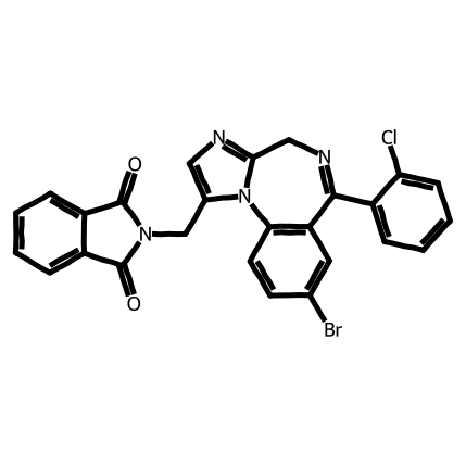 O=C1c2ccccc2C(=O)N1Cc1cnc2n1-c1ccc(Br)cc1C(c1ccccc1Cl)=NC2